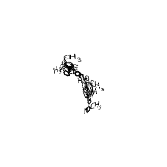 CCCOC(=O)[C@H](C)N[P@](=O)(Oc1ccccc1)[C@H](F)c1ccc2sc(C(=O)N[C@H]3C[C@@H](C)C[C@H]4CC[C@@H](C(=O)N5CC(c6cnccc6C)C5)N4C3=O)cc2c1